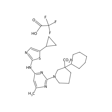 Cc1cc(Nc2ncc(C3CC3)s2)nc(N2CCCC(C(=O)O)(C3CCCCC3)C2)n1.O=C(O)C(F)(F)F